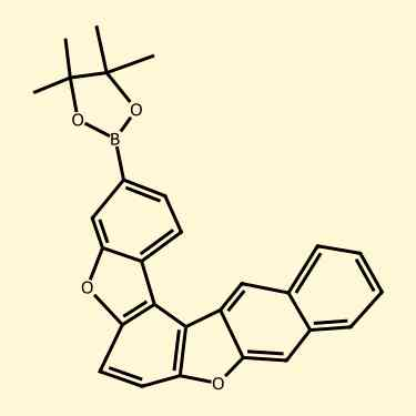 CC1(C)OB(c2ccc3c(c2)oc2ccc4oc5cc6ccccc6cc5c4c23)OC1(C)C